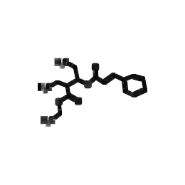 CCOC(=O)C(CC)C(CC)OC(=O)C=Cc1ccccc1